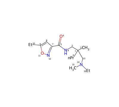 CCCC(C)(CNC(=O)c1cc(CC)on1)CN(C)CC